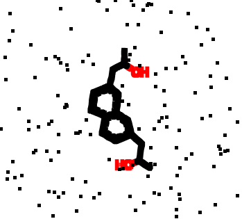 CC(O)Cc1ccc2ccc(CC(C)O)cc2c1